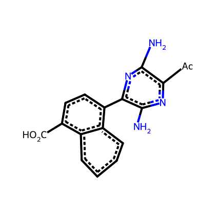 CC(=O)c1nc(N)c(-c2ccc(C(=O)O)c3ccccc23)nc1N